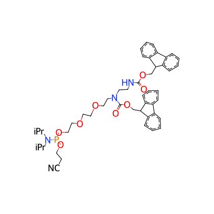 CC(C)N(C(C)C)P(OCCC#N)OCCOCCOCCN(CCNC(=O)OCC1c2ccccc2-c2ccccc21)C(=O)OCC1c2ccccc2-c2ccccc21